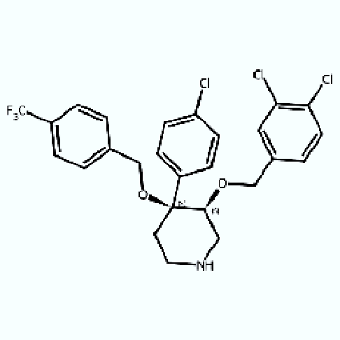 FC(F)(F)c1ccc(CO[C@]2(c3ccc(Cl)cc3)CCNC[C@@H]2OCc2ccc(Cl)c(Cl)c2)cc1